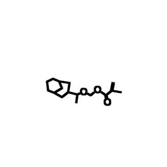 C=C(C)C(=O)OCOC(C)C1CC2CCCC(C2)C1